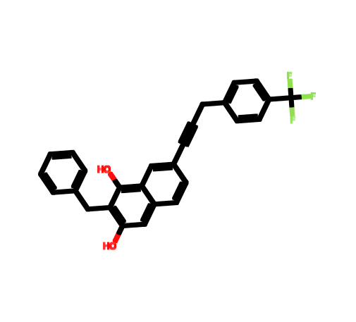 Oc1cc2ccc(C#CCc3ccc(C(F)(F)F)cc3)cc2c(O)c1Cc1ccccc1